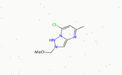 COCN1C=C2N=C(C)C=C(Cl)N2N1